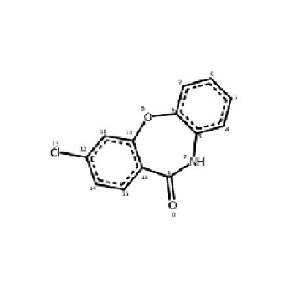 O=C1Nc2ccccc2Oc2cc(Cl)ccc21